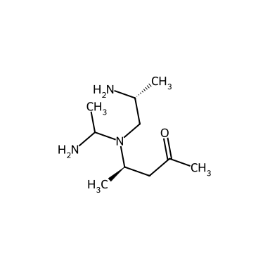 CC(=O)C[C@@H](C)N(C[C@@H](C)N)C(C)N